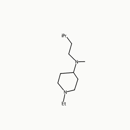 CCN1CCC(N(C)CCC(C)C)CC1